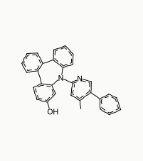 Cc1cc(N2c3ccccc3-c3ccccc3-c3ccc(O)cc32)ncc1-c1ccccc1